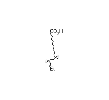 CCC=CC1(C=CC2(C=CCCCCCCCC(=O)O)CC2)CC1